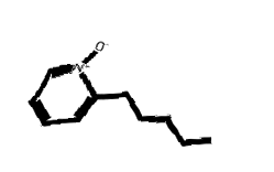 CCCCCc1cccc[n+]1[O-]